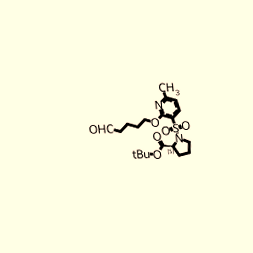 Cc1ccc(S(=O)(=O)N2CCC[C@H]2C(=O)OC(C)(C)C)c(OCCCCC=O)n1